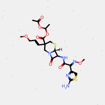 COCC=CC1(C(=O)OC(C)OC(C)=O)CS[C@@H]2C(NC(=O)C(=NOC)c3csc(N)n3)C(=O)N2C1